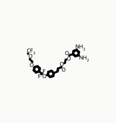 Nc1cc(N)cc(C(=O)OCCOC(=O)C=Cc2ccc(OC(F)(F)c3ccc(OCCOCC(F)(F)F)cc3)cc2)c1